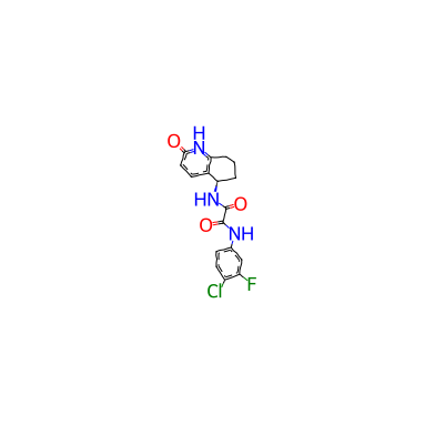 O=C(Nc1ccc(Cl)c(F)c1)C(=O)N[C@@H]1CCCc2[nH]c(=O)ccc21